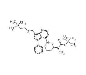 CN(C(=O)OC(C)(C)C)[C@H]1CCCN(c2ccnc3c2c(-c2ccccn2)cn3COCC[Si](C)(C)C)C1